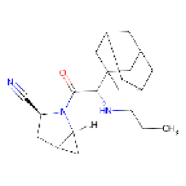 CCCN[C@H](C(=O)N1[C@H](C#N)CC2C[C@@H]21)C12CC3CC(CC(C3)C1)C2